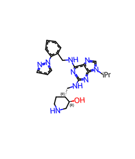 CC(C)n1cnc2c(NCc3ccccc3-n3cccn3)nc(NC[C@H]3CCNC[C@@H]3O)nc21